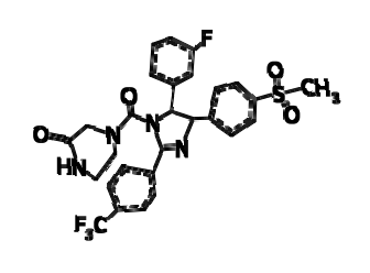 CS(=O)(=O)c1ccc(C2N=C(c3ccc(C(F)(F)F)cc3)N(C(=O)N3CCNC(=O)C3)C2c2cccc(F)c2)cc1